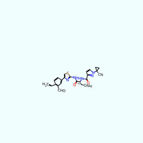 C=Cc1ccc(-c2csc(NC(=O)[C@H](COC)NC(=O)c3ccn(C4(C#N)CC4)n3)n2)cc1C=O